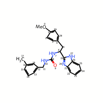 COc1ccc(CC(NC(=O)NCc2cccc(C)c2)c2nc3ccccc3[nH]2)cc1